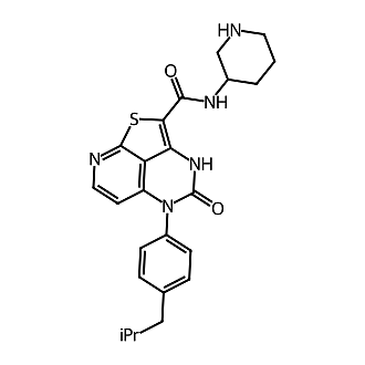 CC(C)Cc1ccc(N2C(=O)Nc3c(C(=O)NC4CCCNC4)sc4nccc2c34)cc1